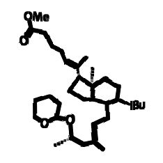 CC[C@H](C)C1CC[C@@]2(C)C(CC[C@@H]2/C(C)=C/CCCC(=O)OC)C1C/C=C(\C)C[C@H](C)OC1CCCCO1